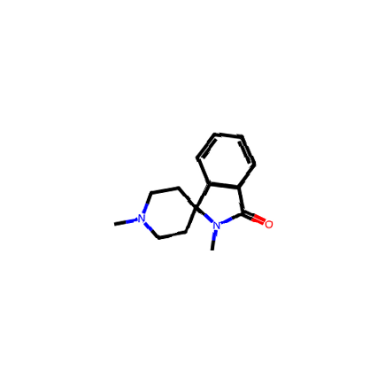 CN1CCC2(CC1)C1C=CC=CC1C(=O)N2C